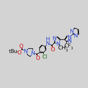 Cn1c(-c2cn(-c3ncccn3)nc2C(F)(F)F)cnc1C(=O)Nc1ccc(C(=O)N2CCN(C(=O)OC(C)(C)C)CC2)c(Cl)c1